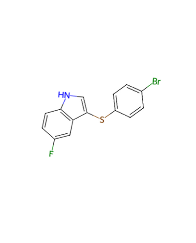 Fc1ccc2[nH]cc(Sc3ccc(Br)cc3)c2c1